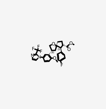 COC(=O)[C@H]1CC[C@@]2(C[C@H](c3cc(-n4ccnc4C(F)(F)F)ccc3OC)CO2)[C@@H]1c1ccc(F)cc1